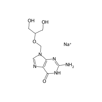 Nc1nc2c(ncn2COC(CO)CO)c(=O)[nH]1.[Na+]